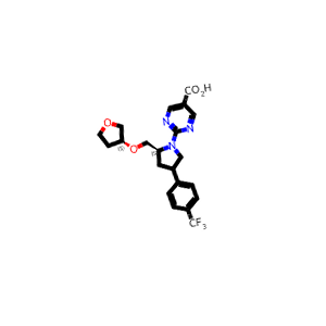 O=C(O)c1cnc(N2CC(c3ccc(C(F)(F)F)cc3)C[C@H]2CO[C@H]2CCOC2)nc1